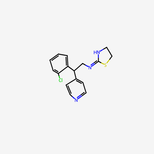 Clc1ccccc1C(CN=C1NCCS1)c1ccncc1